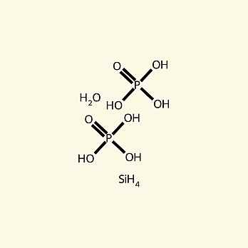 O.O=P(O)(O)O.O=P(O)(O)O.[SiH4]